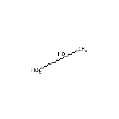 CCCCCCCCC(O)CCC=CC=CC=CC=CC=CC(=O)O